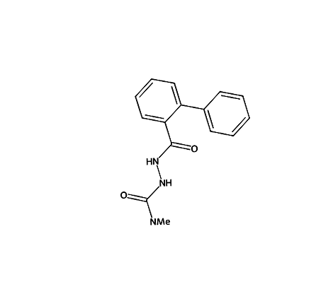 CNC(=O)NNC(=O)c1ccccc1-c1ccccc1